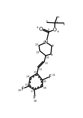 CC(C)(C)OC(=O)N1CCC(/C=C/c2cc(F)c(F)cc2F)CC1